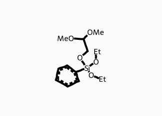 CCO[Si](OCC)(OCC(OC)OC)c1ccccc1